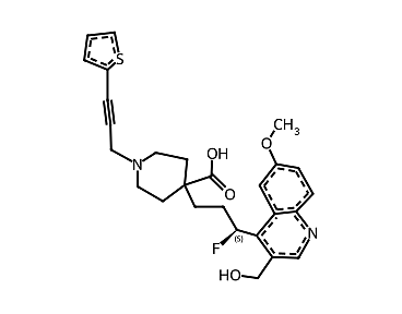 COc1ccc2ncc(CO)c([C@@H](F)CCC3(C(=O)O)CCN(CC#Cc4cccs4)CC3)c2c1